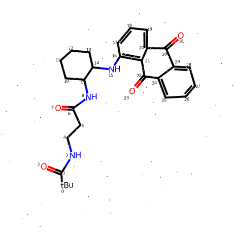 CC(C)(C)C(=O)NCCC(=O)NC1CCCCC1Nc1cccc2c1C(=O)c1ccccc1C2=O